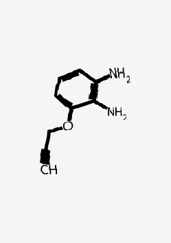 C#CCOc1cccc(N)c1N